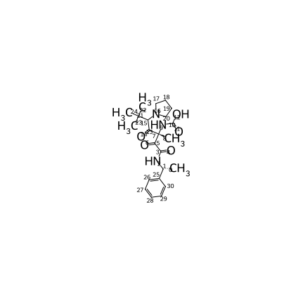 C[C@@H](NC(=O)C(=O)[C@@](C)(NC(=O)O)C(=O)C(N1CCCC1)C(C)(C)C)c1ccccc1